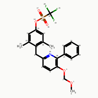 COCOc1ccc(Cc2c(C)cc(OS(=O)(=O)C(F)(F)F)cc2C)nc1-c1ccccc1